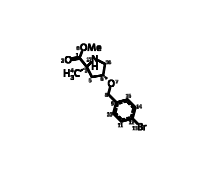 COC(=O)[C@]1(C)C[C@@H](OCc2ccc(Br)cc2)CN1